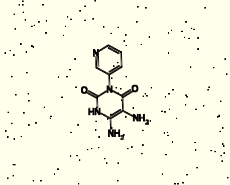 Nc1[nH]c(=O)n(-c2cccnc2)c(=O)c1N